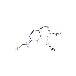 C=Bc1c(OC)ncc2ccc(NCC(F)(F)F)nc12